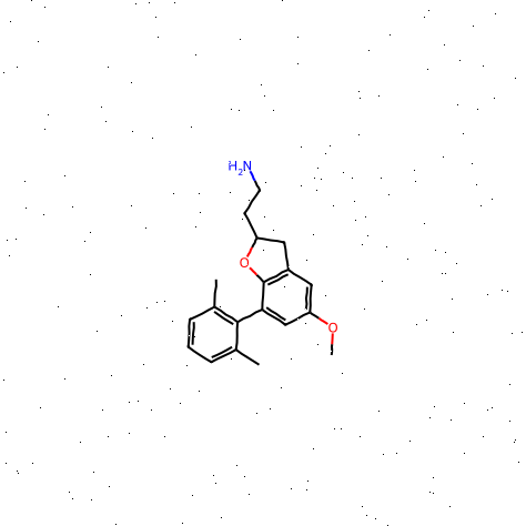 COc1cc2c(c(-c3c(C)cccc3C)c1)OC(CCN)C2